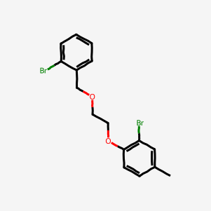 Cc1ccc(OCCOCc2ccccc2Br)c(Br)c1